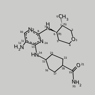 C[C@@H]1COCC[C@H]1Nc1ncc(N)c(NC2CCC(C(N)=O)CC2)n1